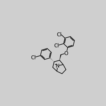 CN1C2CCC1[C@H](COc1cccc(Cl)c1Cl)[C@@H](c1cccc(Cl)c1)C2